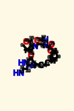 CC[C@@H]1[C@@H]2CN(C(=O)[C@H](C(C)(C)C)NC(=O)O[C@@H]3CCC[C@H]3CCCCCC3=N/C(=C/C=N)NC=C3O2)[C@@H]1C(C)=O